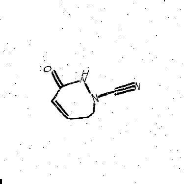 N#CN1CC=CC(=O)N1